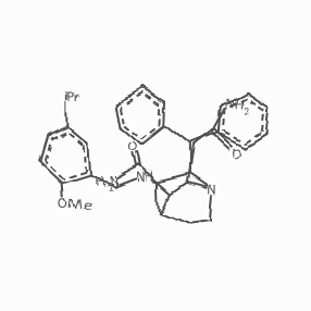 COc1ccc(C(C)C)cc1CNC1C2CCN(C(CC(N)=O)C2C(N)=O)C1C(c1ccccc1)c1ccccc1